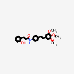 COc1cc(C=Cc2ccc(NC(=O)/C=C/c3ccccc3O)cc2)cc(OC)c1OC